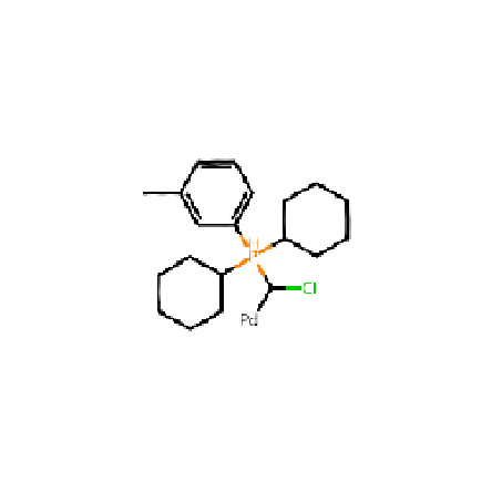 Cc1cccc([PH]([CH](Cl)[Pd])(C2CCCCC2)C2CCCCC2)c1